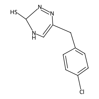 SC1N=NC(Cc2ccc(Cl)cc2)=CN1